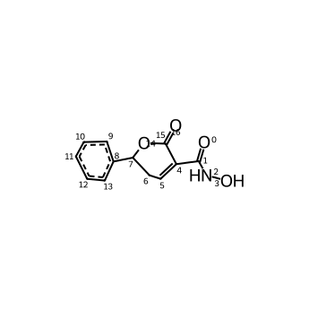 O=C(NO)C1=CCC(c2ccccc2)OC1=O